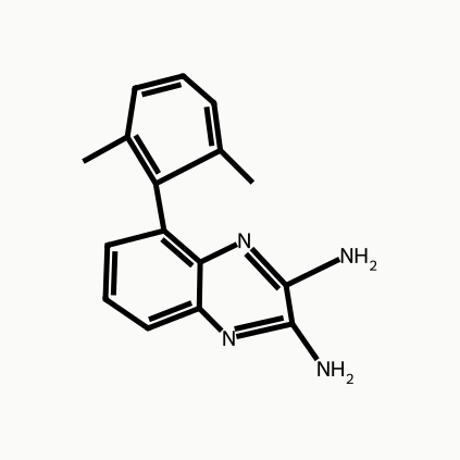 Cc1cccc(C)c1-c1cccc2nc(N)c(N)nc12